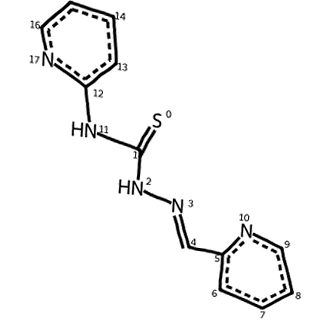 S=C(NN=Cc1ccccn1)Nc1ccccn1